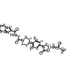 O=C(NCC(=O)N1CCN(c2c(F)cc(N3C[C@H](CNC(=O)C4CC4)OC3=O)cc2F)CC1)c1cn2ccncc2n1